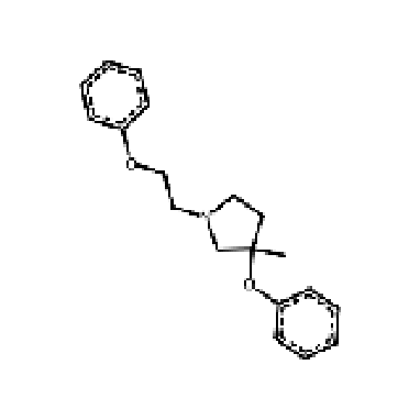 CC1(Oc2ccccc2)CCN(CCOc2ccccc2)C1